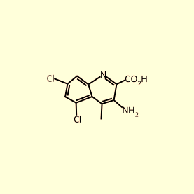 Cc1c(N)c(C(=O)O)nc2cc(Cl)cc(Cl)c12